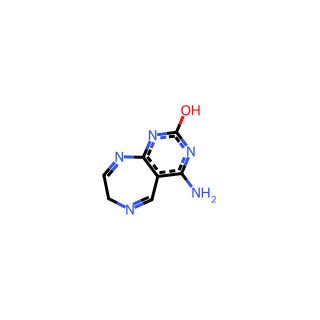 Nc1nc(O)nc2c1C=NCC=N2